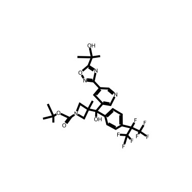 CC(C)(C)OC(=O)N1CC(C)(C(O)(c2ccc(C(F)(C(F)(F)F)C(F)(F)F)cc2)c2cncc(-c3noc(C(C)(C)O)n3)c2)C1